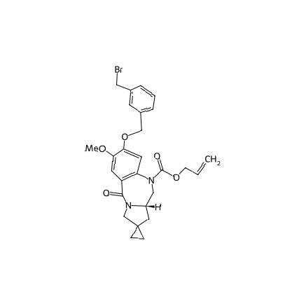 C=CCOC(=O)N1C[C@@H]2CC3(CC3)CN2C(=O)c2cc(OC)c(OCc3cccc(CBr)c3)cc21